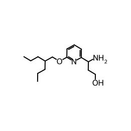 CCCC(CCC)COc1cccc(C(N)CCO)n1